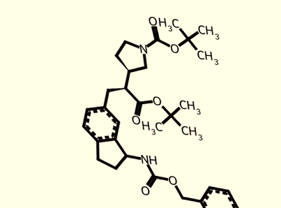 CC(C)(C)OC(=O)[C@@H](Cc1ccc2c(c1)C(NC(=O)OCc1ccccc1)CC2)[C@H]1CCN(C(=O)OC(C)(C)C)C1